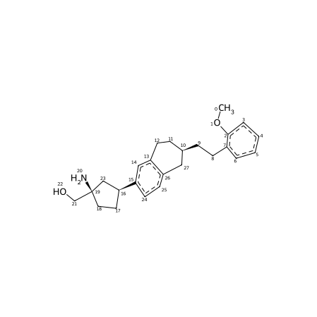 COc1ccccc1CC[C@@H]1CCc2cc([C@H]3CC[C@](N)(CO)C3)ccc2C1